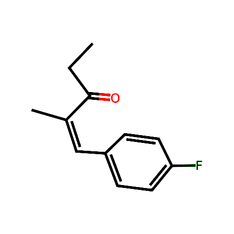 CCC(=O)C(C)=Cc1ccc(F)cc1